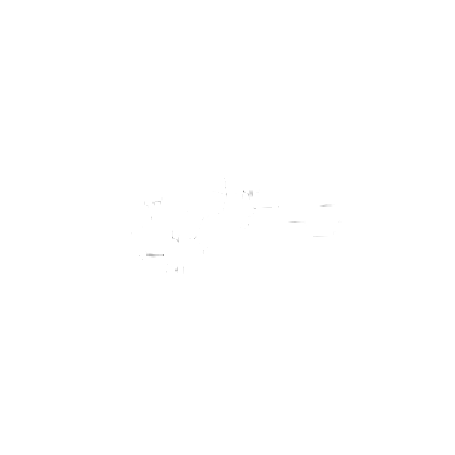 O=C(NC1(/C=C2\C[C@@H](C(=O)O)N(C(=O)O)C2=O)CC1)OCc1ccccc1